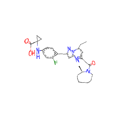 CCc1cc(C(=O)N2CCCCC[C@H]2C)nc2cc(-c3ccc(NC4(C(=O)O)CC4)cc3F)nn12